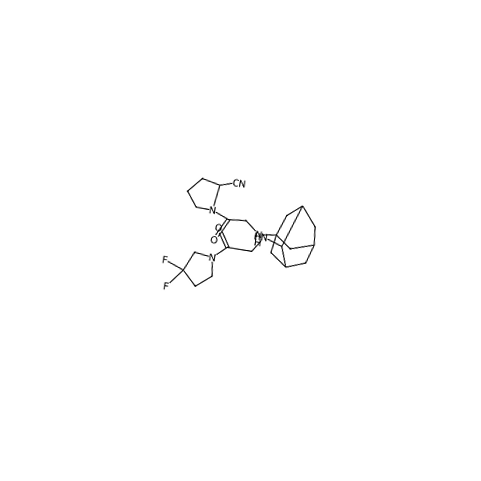 N#CC1CCCN1C(=O)CNC12CC3CC(C1)C(NCC(=O)N1CCC(F)(F)C1)C(C3)C2